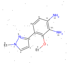 CCOc1c(-c2ccn(CC)n2)ccc(N)c1N